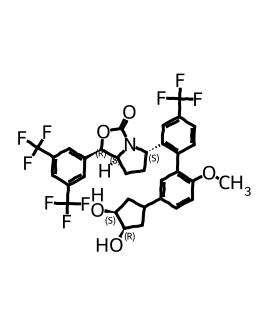 COc1ccc(C2C[C@@H](O)[C@@H](O)C2)cc1-c1ccc(C(F)(F)F)cc1[C@@H]1CC[C@H]2[C@@H](c3cc(C(F)(F)F)cc(C(F)(F)F)c3)OC(=O)N12